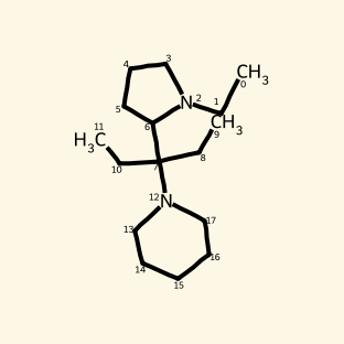 CCN1CCCC1C(CC)(CC)N1CCCCC1